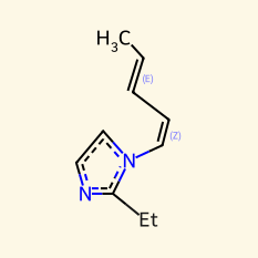 C/C=C/C=C\n1ccnc1CC